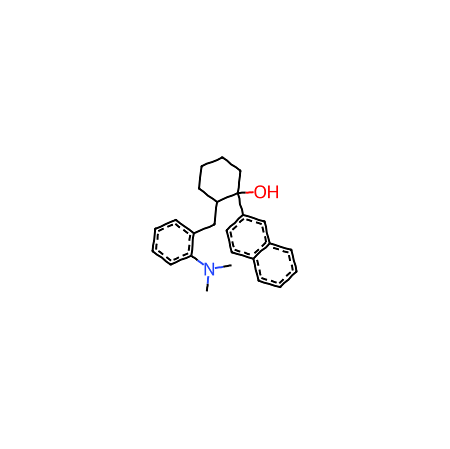 CN(C)c1ccccc1CC1CCCCC1(O)c1ccc2ccccc2c1